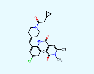 Cc1cc(Cl)cc(C=C2CCN(C(=O)CC3CC3)CC2)c1NC(=O)c1cc(C#N)n(C)c(=O)c1